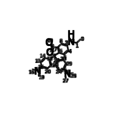 CCNc1ccc2c(c1)C(=O)OC2(c1ccc(N(C)C)cc1)c1ccc(N(C)C)cc1